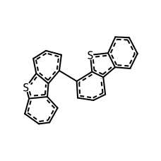 c1ccc2c(c1)sc1c(-c3cccc4sc5ccccc5c34)cccc12